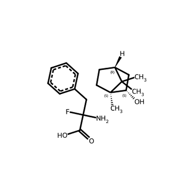 CC1(C)[C@@H]2CC[C@]1(C)[C@@H](O)C2.NC(F)(Cc1ccccc1)C(=O)O